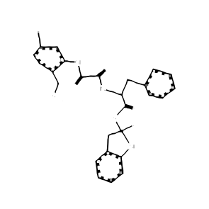 NCc1ccc(Cl)cc1NC(=O)C(=O)NC(Cc1ccccc1)C(=O)NC1(C(=O)O)Cc2ccccc2N1